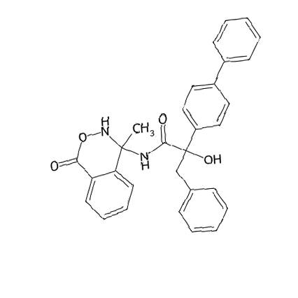 CC1(NC(=O)C(O)(Cc2ccccc2)c2ccc(-c3ccccc3)cc2)NOC(=O)c2ccccc21